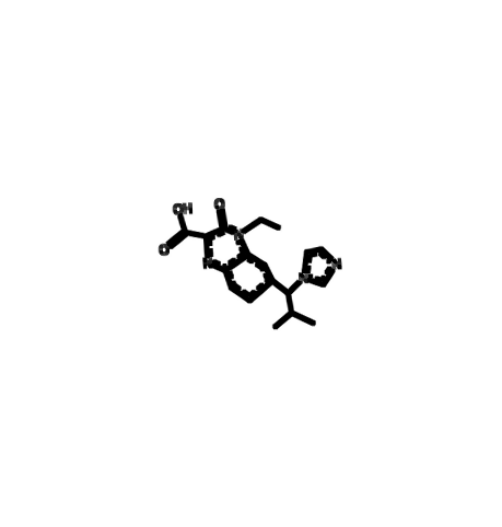 CCn1c(=O)c(C(=O)O)nc2ccc(C(C(C)C)n3ccnc3)cc21